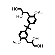 CC(=O)Oc1ccc(C(C)(C)c2ccc(OC(C)=O)c(CC(O)CO)c2)cc1CC(O)CO